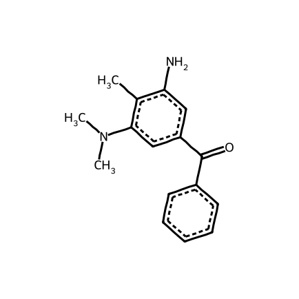 Cc1c(N)cc(C(=O)c2ccccc2)cc1N(C)C